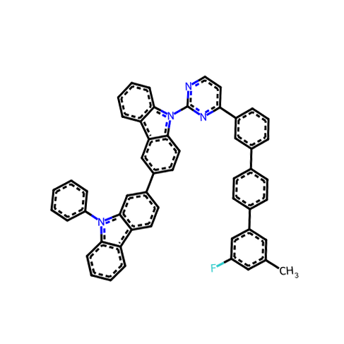 Cc1cc(F)cc(-c2ccc(-c3cccc(-c4ccnc(-n5c6ccccc6c6cc(-c7ccc8c9ccccc9n(-c9ccccc9)c8c7)ccc65)n4)c3)cc2)c1